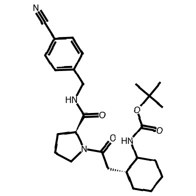 CC(C)(C)OC(=O)NC1CCCC[C@@H]1CC(=O)N1CCC[C@H]1C(=O)NCc1ccc(C#N)cc1